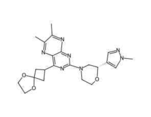 Cc1nc2nc(N3CCO[C@@H](c4cnn(C)c4)C3)nc(C3CC4(C3)OCCO4)c2nc1C